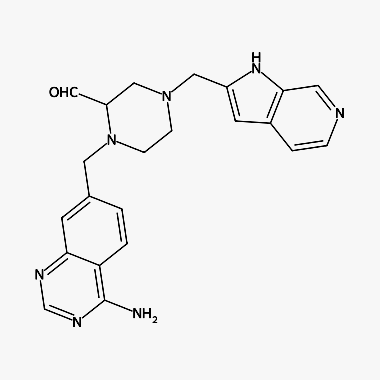 Nc1ncnc2cc(CN3CCN(Cc4cc5ccncc5[nH]4)CC3C=O)ccc12